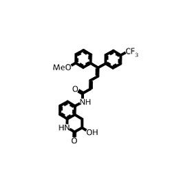 COc1cccc(/C(=C\C=C\C(=O)Nc2cccc3c2CC(O)C(=O)N3)c2ccc(C(F)(F)F)cc2)c1